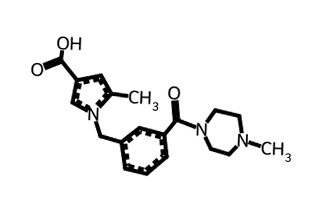 Cc1cc(C(=O)O)cn1Cc1cccc(C(=O)N2CCN(C)CC2)c1